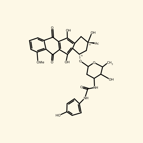 COc1cccc2c1C(=O)c1c(O)c3c(c(O)c1C2=O)C[C@@](O)(C(C)=O)C[C@@H]3OC1CC(NC(=O)Nc2ccc(O)cc2)C(O)C(C)O1